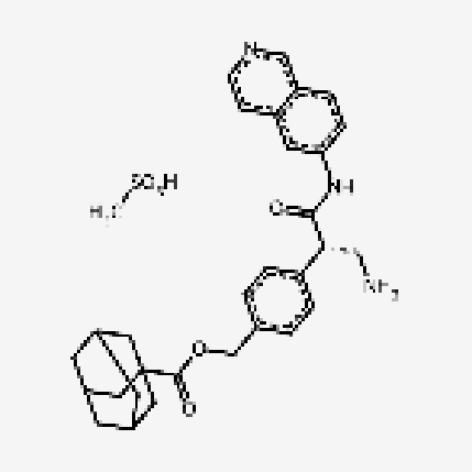 CS(=O)(=O)O.NC[C@@H](C(=O)Nc1ccc2cnccc2c1)c1ccc(COC(=O)C23CC4CC(CC(C4)C2)C3)cc1